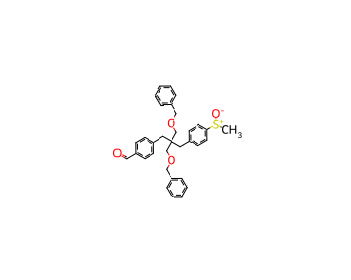 C[S+]([O-])c1ccc(CC(COCc2ccccc2)(COCc2ccccc2)Cc2ccc(C=O)cc2)cc1